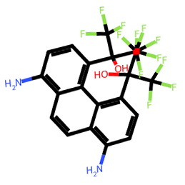 Nc1ccc(C(O)(C(F)(F)F)C(F)(F)F)c2c1ccc1c(N)ccc(C(O)(C(F)(F)F)C(F)(F)F)c12